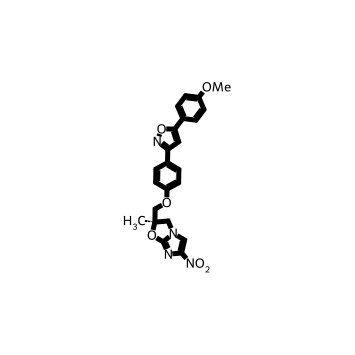 COc1ccc(-c2cc(-c3ccc(OC[C@@]4(C)Cn5cc([N+](=O)[O-])nc5O4)cc3)no2)cc1